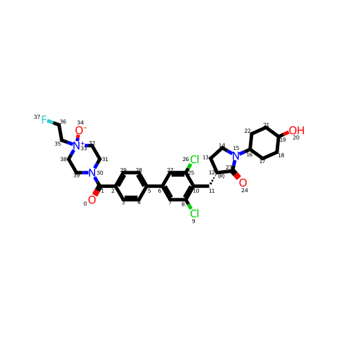 O=C(c1ccc(-c2cc(Cl)c(C[C@@H]3CCN(C4CCC(O)CC4)C3=O)c(Cl)c2)cc1)N1CC[N+]([O-])(CCF)CC1